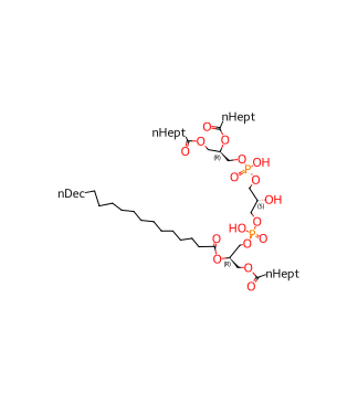 CCCCCCCCCCCCCCCCCCCCCCC(=O)O[C@H](COC(=O)CCCCCCC)COP(=O)(O)OC[C@@H](O)COP(=O)(O)OC[C@@H](COC(=O)CCCCCCC)OC(=O)CCCCCCC